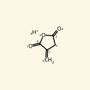 C=C1CC(=O)OC1=O.[H+]